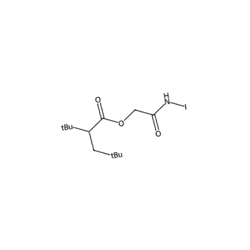 CC(C)(C)CC(C(=O)OCC(=O)NI)C(C)(C)C